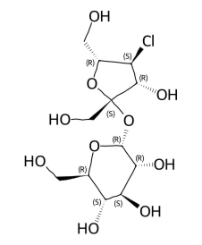 OC[C@H]1O[C@H](O[C@]2(CO)O[C@H](CO)[C@@H](Cl)[C@@H]2O)[C@H](O)[C@@H](O)[C@@H]1O